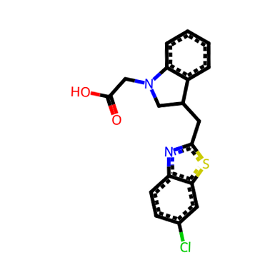 O=C(O)CN1CC(Cc2nc3ccc(Cl)cc3s2)c2ccccc21